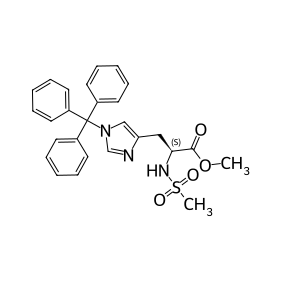 COC(=O)[C@H](Cc1cn(C(c2ccccc2)(c2ccccc2)c2ccccc2)cn1)NS(C)(=O)=O